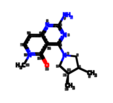 CC1CN(c2nc(N)nc3ccn(C)c(=O)c23)C[C@@H]1C